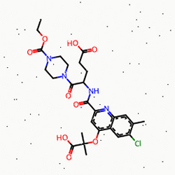 CCOC(=O)N1CCN(C(=O)C(CCC(=O)O)NC(=O)c2cc(OC(C)(C)C(=O)O)c3cc(Cl)c(C)cc3n2)CC1